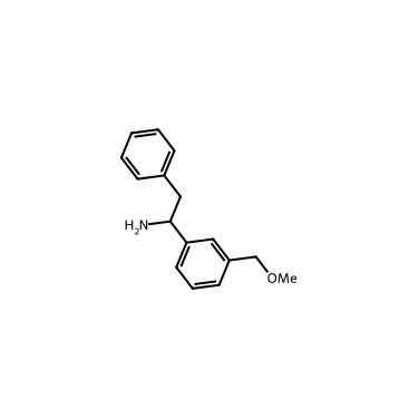 COCc1cccc(C(N)Cc2ccccc2)c1